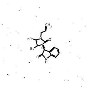 C=CCN1C(=O)/C(=C2/C(=O)Nc3ccccc32)C(CC)C1CCC